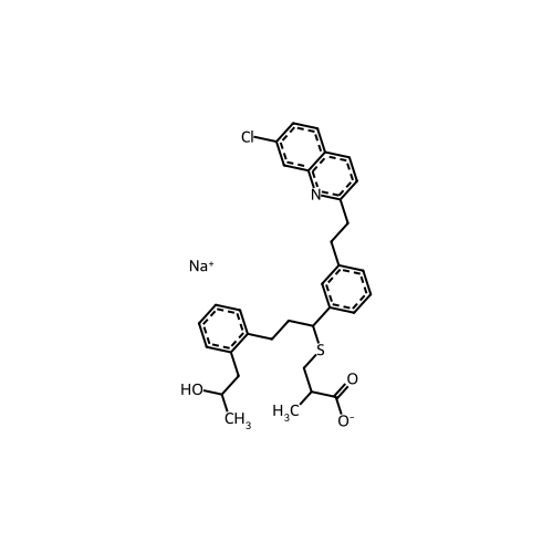 CC(O)Cc1ccccc1CCC(SCC(C)C(=O)[O-])c1cccc(CCc2ccc3ccc(Cl)cc3n2)c1.[Na+]